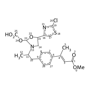 COC(=O)C=C(C)c1ccc(CC(C)N2CC(c3csc(Cl)n3)OC2OC(=O)O)cc1